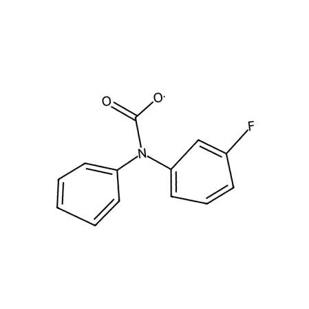 [O]C(=O)N(c1ccccc1)c1cccc(F)c1